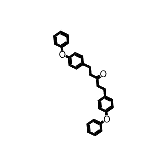 O=C(CCc1ccc(Oc2ccccc2)cc1)CCc1ccc(Oc2ccccc2)cc1